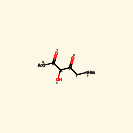 CCCCCCCC(=O)C(O)C(=O)OC(C)=O